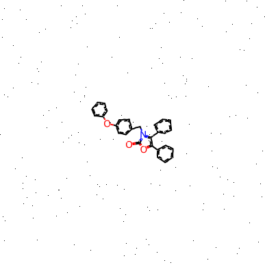 O=c1oc(-c2ccccc2)c(-c2ccccc2)n1Cc1ccc(Oc2ccccc2)cc1